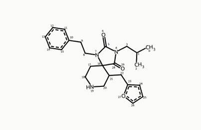 CC(C)CN1C(=O)N(CCc2ccccc2)C2(CCNCC2Cc2ccco2)C1=O